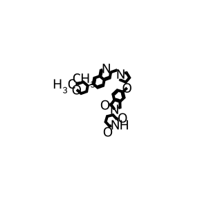 CC1(C)C[C@@H](c2ccc3cc(CN4CC[C@H](Oc5ccc6c(c5)CN([C@H]5CCC(=O)NC5=O)C6=O)C4)ncc3c2)CCO1